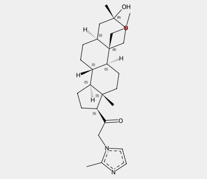 COC[C@]12CC[C@@](C)(O)C[C@@H]1CC[C@H]1[C@@H]3CC[C@H](C(=O)Cn4ccnc4C)[C@@]3(C)CC[C@@H]12